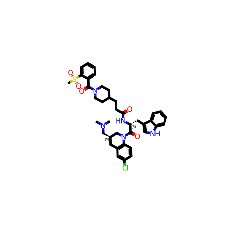 CN(C)C[C@@H]1Cc2cc(Cl)ccc2N(C(=O)[C@@H](Cc2c[nH]c3ccccc23)NC(=O)CCC2CCN(C(=O)c3ccccc3S(C)(=O)=O)CC2)C1